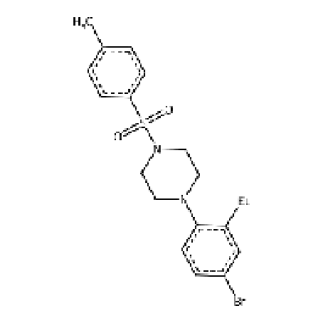 CCc1cc(Br)ccc1N1CCN(S(=O)(=O)c2ccc(C)cc2)CC1